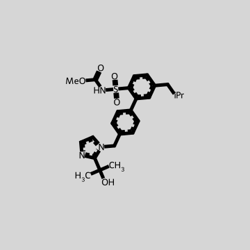 COC(=O)NS(=O)(=O)c1ccc(CC(C)C)cc1-c1ccc(Cn2ccnc2C(C)(C)O)cc1